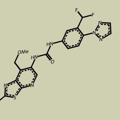 COCc1c(NC(=O)Nc2ccc(-n3nccn3)c(C(F)F)c2)cnc2sc(C)nc12